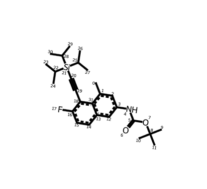 Cc1cc(NC(=O)OC(C)(C)C)cc2ccc(F)c(C#C[Si](C(C)C)(C(C)C)C(C)C)c12